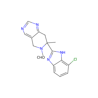 CC1(c2nc3cccc(Cl)c3[nH]2)Cc2ncncc2CN1C=O